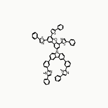 Cn1c(-c2ccccc2)cnc1-c1cccc(-c2ccc3c(c2)c2cc(-c4cccc(-c5ncc(-c6ccccc6)n5C)c4)ccc2n3-c2cc(-c3ncc(-c4ccccc4)s3)c3oc4c(-c5ccc(-c6ccccc6)s5)cc(-c5ncc(-c6ccccc6)s5)cc4c3c2)c1